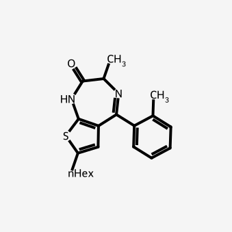 CCCCCCc1cc2c(s1)NC(=O)C(C)N=C2c1ccccc1C